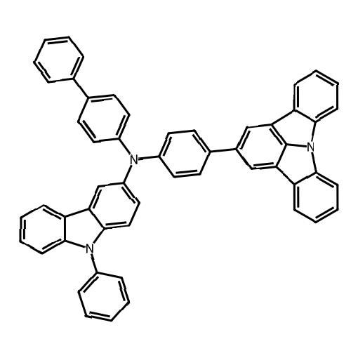 c1ccc(-c2ccc(N(c3ccc(-c4cc5c6ccccc6n6c7ccccc7c(c4)c56)cc3)c3ccc4c(c3)c3ccccc3n4-c3ccccc3)cc2)cc1